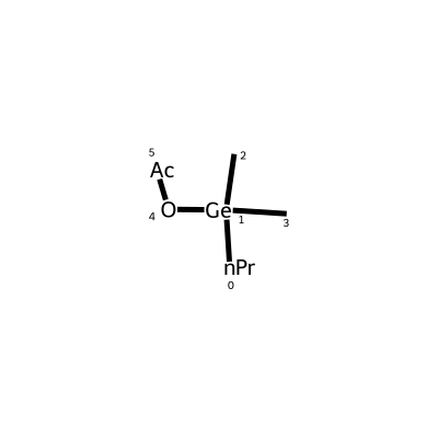 CC[CH2][Ge]([CH3])([CH3])[O]C(C)=O